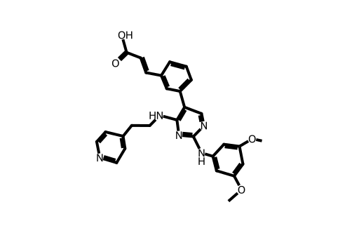 COc1cc(Nc2ncc(-c3cccc(C=CC(=O)O)c3)c(NCCc3ccncc3)n2)cc(OC)c1